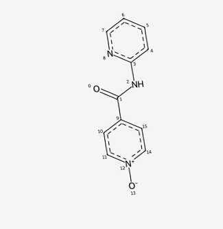 O=C(Nc1ccccn1)c1cc[n+]([O-])cc1